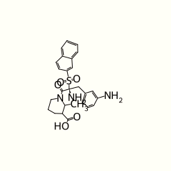 CC1C(C(=O)O)CCCN1C(=O)[C@@](N)(Cc1cccc(N)c1)S(=O)(=O)c1ccc2ccccc2c1